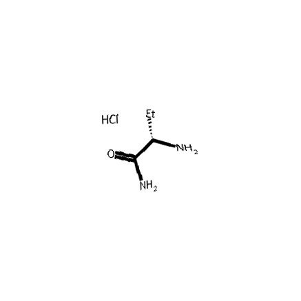 CC[C@H](N)C(N)=O.Cl